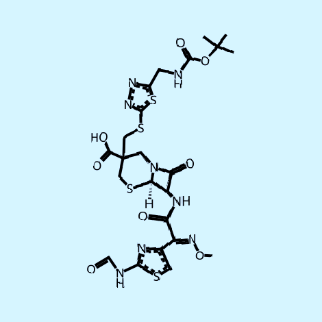 CON=C(C(=O)NC1C(=O)N2CC(CSc3nnc(CNC(=O)OC(C)(C)C)s3)(C(=O)O)CS[C@H]12)c1csc(NC=O)n1